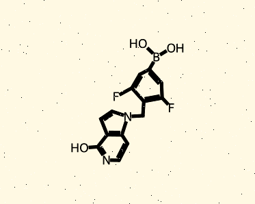 OB(O)c1cc(F)c(Cn2ccc3c(O)nccc32)c(F)c1